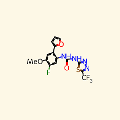 COc1cc(-c2ccco2)c(NC(=O)Nc2nnc(C(F)(F)F)s2)cc1F